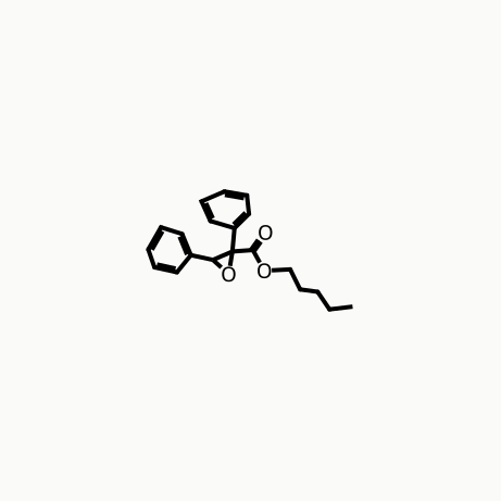 CCCCCOC(=O)C1(c2ccccc2)OC1c1ccccc1